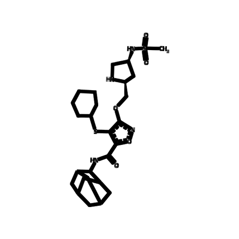 CS(=O)(=O)N[C@@H]1CN[C@H](COc2noc(C(=O)NC3C4CC5CC(C4)CC3C5)c2SC2CCCCC2)C1